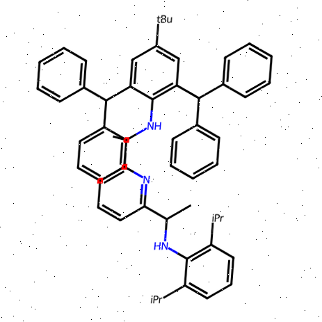 CC(C)c1cccc(C(C)C)c1NC(C)c1cccc(C(C)Nc2c(C(c3ccccc3)c3ccccc3)cc(C(C)(C)C)cc2C(c2ccccc2)c2ccccc2)n1